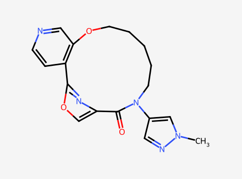 Cn1cc(N2CCCCCOc3cnccc3-c3nc(co3)C2=O)cn1